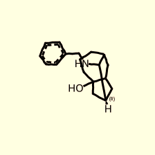 OC12CCCC3CC1C[C@H](C2)C3NCc1ccccc1